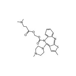 Cc1cc2c(s1)=Nc1ccccc1N(C(=O)OCOC(=O)CCN(C)C)C=2N1CCN(C)CC1